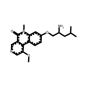 COc1cncc2c(=O)n(C)c3cc(OCC(N)CC(C)C)ccc3c12